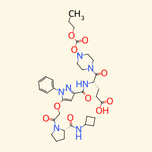 CCCOC(=O)ON1CCN(C(=O)[C@H](CCC(=O)O)NC(=O)c2cc(OCC(=O)N3CCC[C@H]3C(=O)NC3CCC3)n(-c3ccccc3)n2)CC1